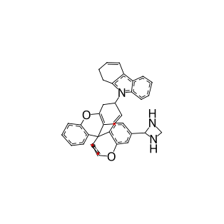 C1=Cc2c(n(C3C=CC4=C(C3)Oc3ccccc3C43c4ccccc4Oc4cc(C5NCN5)ccc43)c3ccccc23)CC1